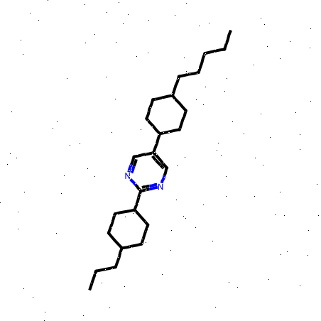 CCCCCC1CCC(c2cnc(C3CCC(CCC)CC3)nc2)CC1